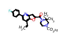 C=Cc1cc(-c2ccc(F)cc2)nc2cc(C(=O)N3CCN(C(=O)O)CC3(C)C)oc12